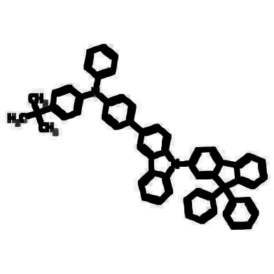 CC(C)(C)c1ccc(N(c2ccccc2)c2ccc(-c3ccc4c(c3)c3ccccc3n4-c3ccc4c(c3)C(c3ccccc3)(c3ccccc3)c3ccccc3-4)cc2)cc1